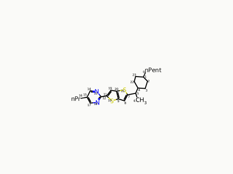 CCCCCC1CCC(C(C)c2cc3sc(-c4ncc(CCC)cn4)cc3s2)CC1